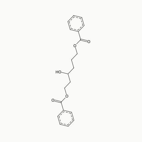 O=C(OCCCC(O)CCOC(=O)c1ccccc1)c1ccccc1